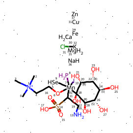 C[N+](C)(C)CC[O][Mn]([PH2])([SeH])([I])([CH](CN)S(=O)(=O)O)[C@]1(O)[C@H](O)[C@H](O)[C@@H](O)[C@H](O)[C@H]1O.[CaH2].[Cl][K].[Cu].[Fe].[MgH2].[NaH].[Zn]